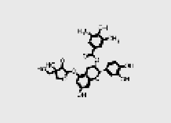 Cc1cc(C(=O)O[C@H]2Cc3c(OC4OCC(O)(CO)C4O)cc(O)cc3O[C@@H]2c2ccc(O)c(O)c2)cc(C)c1O